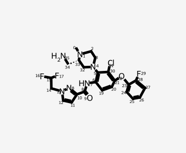 CN1CCN(c2c(NC(=O)c3ccn(CC(F)F)n3)ccc(Oc3ccccc3F)c2Cl)C[C@@H]1CN